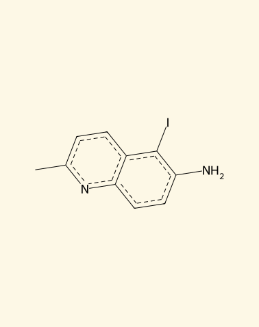 Cc1ccc2c(I)c(N)ccc2n1